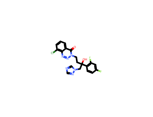 O=c1c2cccc(Cl)c2nnn1CCC(O)(Cn1cncn1)c1ccc(F)cc1F